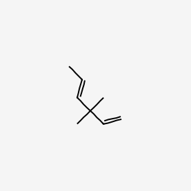 C=CC(C)(C)/C=C/C